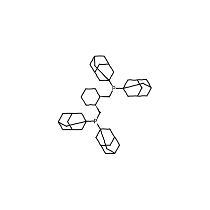 C1CC[C@@H](CP(C23CC4CC(CC(C4)C2)C3)C23CC4CC(CC(C4)C2)C3)[C@@H](CP(C23CC4CC(CC(C4)C2)C3)C23CC4CC(CC(C4)C2)C3)C1